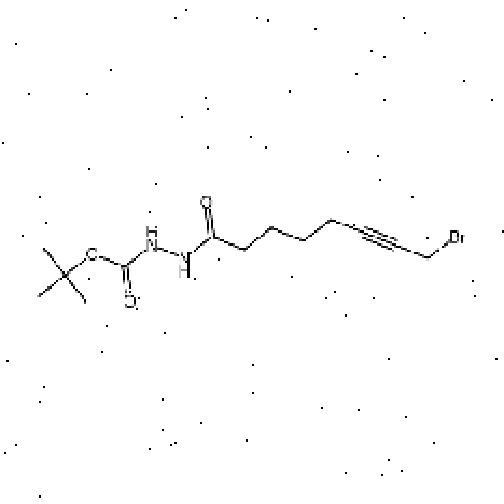 CC(C)(C)OC(=O)NNC(=O)CCCCC#CCBr